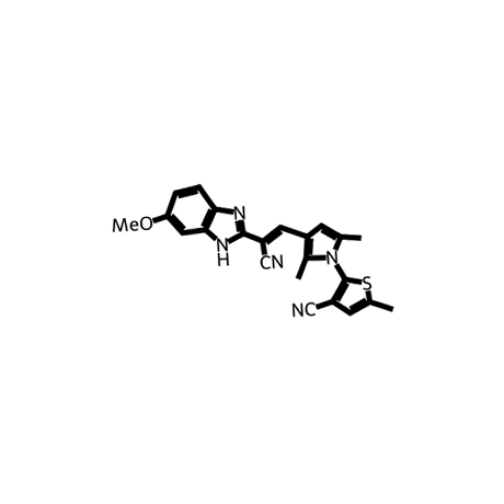 COc1ccc2nc(C(C#N)=Cc3cc(C)n(-c4sc(C)cc4C#N)c3C)[nH]c2c1